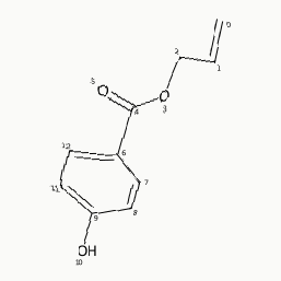 C=CCOC(=O)c1ccc(O)cc1